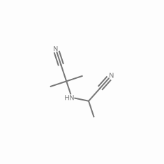 CC(C#N)NC(C)(C)C#N